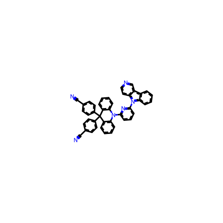 N#Cc1ccc(C2(c3ccc(C#N)cc3)c3ccccc3N(c3cccc(-n4c5ccccc5c5cnccc54)n3)c3ccccc32)cc1